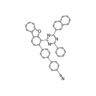 N#Cc1ccc(-c2ccc(-c3ccc4c(oc5ccccc54)c3-c3nc(-c4ccccc4)nc(-c4ccc5ccccc5c4)n3)cc2)cc1